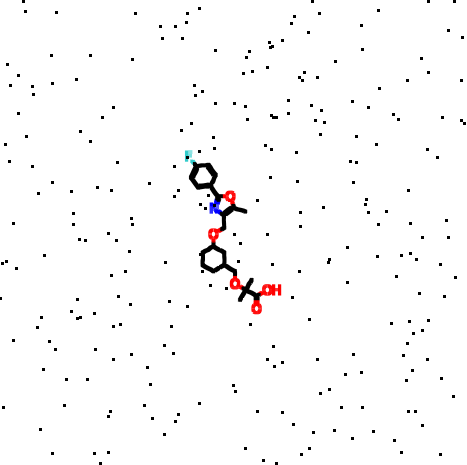 Cc1oc(-c2ccc(F)cc2)nc1COC1CCCC(COC(C)(C)C(=O)O)C1